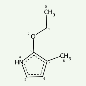 CCOc1[nH]ccc1C